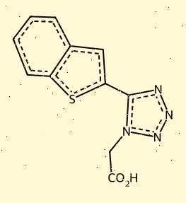 O=C(O)Cn1nnnc1-c1cc2ccccc2s1